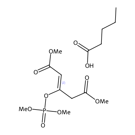 CCCCC(=O)O.COC(=O)/C=C(/CC(=O)OC)OP(=O)(OC)OC